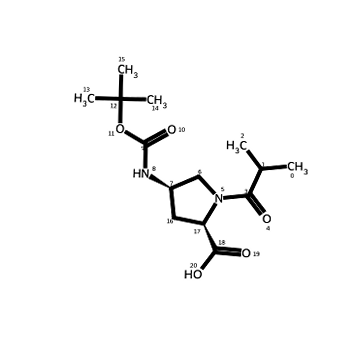 CC(C)C(=O)N1C[C@H](NC(=O)OC(C)(C)C)C[C@@H]1C(=O)O